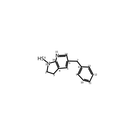 SN1CCc2cc(Cc3ccccc3)cnc21